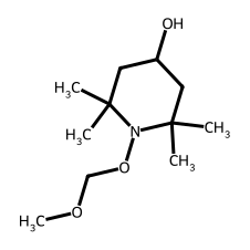 COCON1C(C)(C)CC(O)CC1(C)C